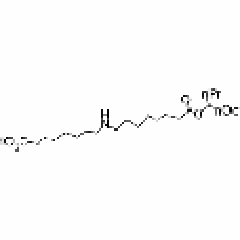 CCCCCCCCC(CCC)OC(=O)CCCCCCCNCCCCCCCC(=O)O